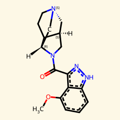 COc1cccc2[nH]nc(C(=O)N3C[C@@H]4C[N@@]5CCC4[C@@H]3C5)c12